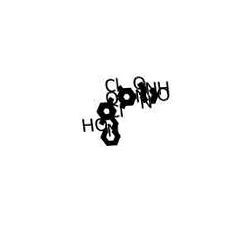 O=c1cnn(-c2cc(Cl)c(Oc3ccc(O)c(CN4CCCCC4)c3)c(Cl)c2)c(=O)[nH]1